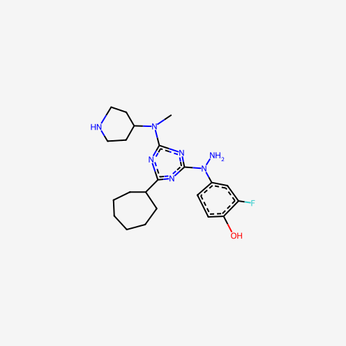 CN(c1nc(C2CCCCCC2)nc(N(N)c2ccc(O)c(F)c2)n1)C1CCNCC1